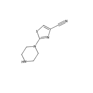 N#Cc1csc(N2CCNCC2)n1